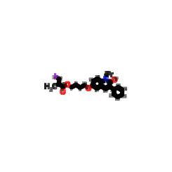 CC(CI)C(=O)OCCCCOc1ccc2c(c1)cc(C1=CCCC=C1)c(=O)n2C(C)C